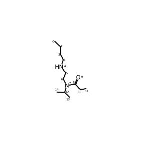 CCCCNCCN(C(=O)CC)C(C)C